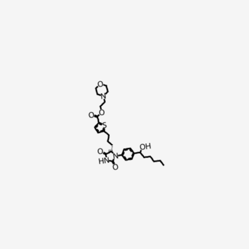 CCCCCC(O)c1ccc(N2C(=O)NC(=O)[C@@H]2CCCc2ccc(C(=O)OCCN3CCOCC3)s2)cc1